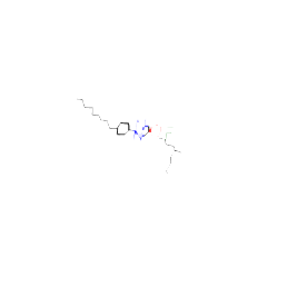 CCCCCCCCCc1ccc(-c2ncc(OCC(F)CCC(C)CCCC)cn2)cc1